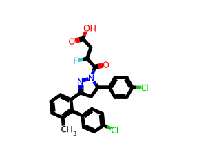 Cc1cccc(C2=NN(C(=O)C(F)CC(=O)O)C(c3ccc(Cl)cc3)C2)c1-c1ccc(Cl)cc1